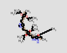 CCCCCCCCCCCCOC1=C(c2ccc(C)s2)C(=N)C(=N)C(c2ccc(-c3cc4c(OCC(CC)CCCC)c5sc(-c6ccc(-c7ccc(-c8ccc(-c9cc%10c(OCC(CC)CCCC)c%11sc(C)cc%11c(OCC(CC)CCCC)c%10s9)s8)c8nccnc78)s6)cc5c(OCC(CC)CCCC)c4s3)s2)=C1C